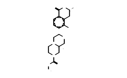 C[C@H]1Cc2c(ccc([C@H]3CN4CCN(C(=O)OC(C)(C)C)C[C@@H]4CO3)c2F)C(=O)O1